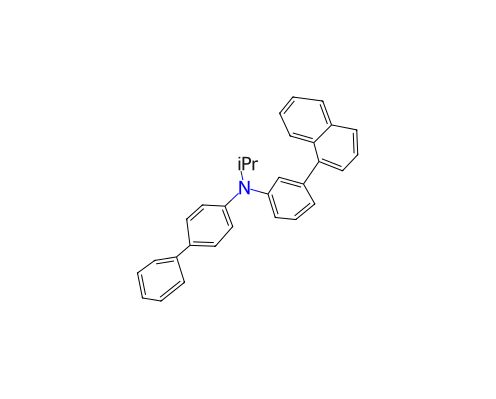 CC(C)N(c1ccc(-c2ccccc2)cc1)c1cccc(-c2cccc3ccccc23)c1